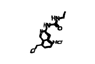 CCNC(=O)Nc1cc2cccc(CCl)c2cn1.Cl